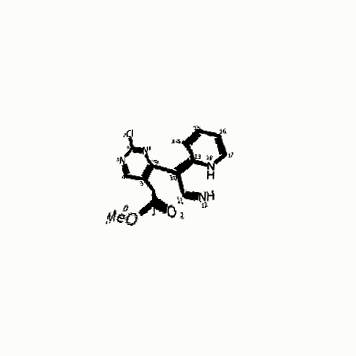 COC(=O)c1cnc(Cl)nc1/C(C=N)=C1\C=CC=CN1